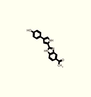 CC(=O)c1ccc2[nH]c(-c3cc(-c4ccc(O)cc4)c[nH]3)nc2c1